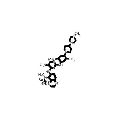 COc1cc(N2CCC(N3CCN(C)CC3)CC2)c(C)cc1Nc1ncc([N+](=O)[O-])c(Nc2ccc3nccnc3c2N(C)S(C)(=O)=O)n1